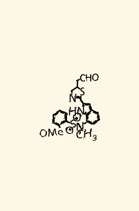 COc1ccccc1S(=O)(=O)N(C)c1cccc2cc(C3=NCC(CC=O)S3)[nH]c12